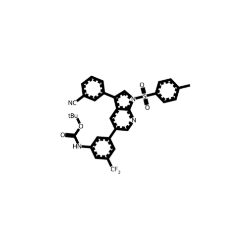 Cc1ccc(S(=O)(=O)n2cc(-c3cccc(C#N)c3)c3cc(-c4cc(NC(=O)OC(C)(C)C)cc(C(F)(F)F)c4)cnc32)cc1